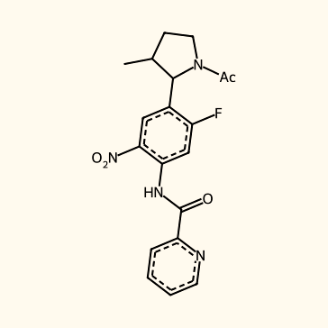 CC(=O)N1CCC(C)C1c1cc([N+](=O)[O-])c(NC(=O)c2ccccn2)cc1F